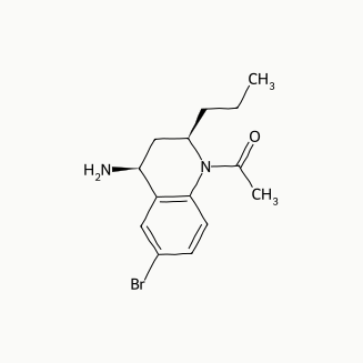 CCC[C@@H]1C[C@H](N)c2cc(Br)ccc2N1C(C)=O